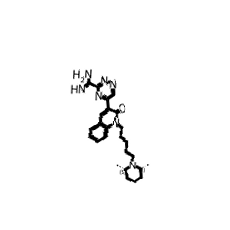 C[C@@H]1CCC[C@H](C)N1CCCCCn1c(=O)c(-c2cnnc(C(=N)N)n2)cc2ccccc21